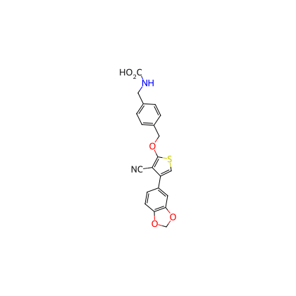 N#Cc1c(-c2ccc3c(c2)OCO3)csc1OCc1ccc(CNC(=O)O)cc1